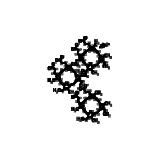 C=CC1=C(C)c2cc3[nH]c(cc4nc(cc5[nH]c(cc1n2)c(C)c5CCC(=O)[O-])C(CCC(=O)[O-])=C4C)c(C)c3C=C.C=CC1=C(C)c2cc3[nH]c(cc4nc(cc5[nH]c(cc1n2)c(C)c5CCC(=O)[O-])C(CCC(=O)[O-])=C4C)c(C)c3C=C.C=CC1=C(C)c2cc3[nH]c(cc4nc(cc5[nH]c(cc1n2)c(C)c5CCC(=O)[O-])C(CCC(=O)[O-])=C4C)c(C)c3C=C.[Au+3].[Au+3]